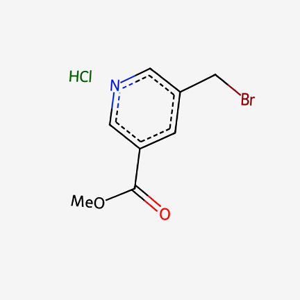 COC(=O)c1cncc(CBr)c1.Cl